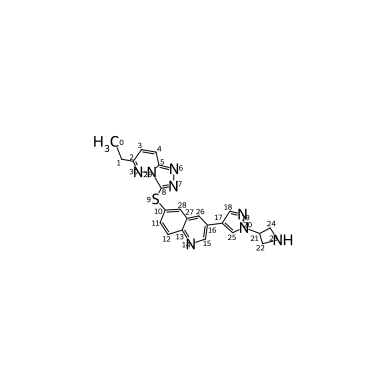 CCc1ccc2nnc(Sc3ccc4ncc(-c5cnn(C6CNC6)c5)cc4c3)n2n1